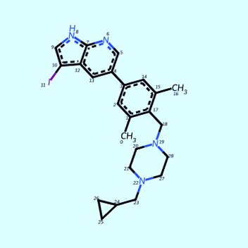 Cc1cc(-c2cnc3[nH]cc(I)c3c2)cc(C)c1CN1CCN(CC2CC2)CC1